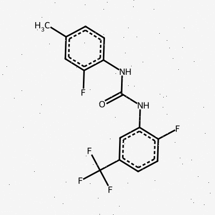 Cc1ccc(NC(=O)Nc2cc(C(F)(F)F)ccc2F)c(F)c1